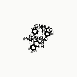 COc1ccc(S(=O)(=O)N(CC(C)C)C[C@@H](O)[C@H](Cc2ccccc2)NC(=O)O[C@@H]2C[C@@H]3[C@H](NC(C)=O)CO[C@@H]3C2)cc1